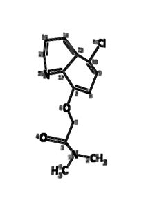 CN(C)C(=O)COc1ccc(Cl)c2cccnc12